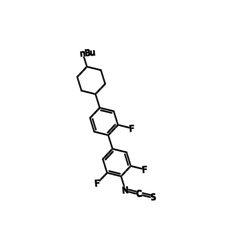 CCCCC1CCC(c2ccc(-c3cc(F)c(N=C=S)c(F)c3)c(F)c2)CC1